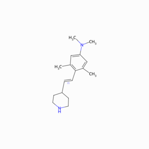 Cc1cc(N(C)C)cc(C)c1/C=C/C1CCNCC1